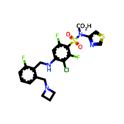 O=C(O)N(c1cscn1)S(=O)(=O)c1c(F)cc(NCc2c(F)cccc2CN2CCC2)c(Cl)c1F